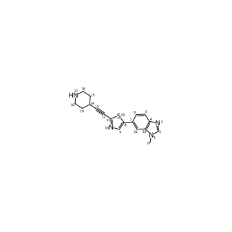 Cn1cnc2ccc(-c3cnc(C#CC4CCNCC4)s3)cc21